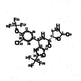 O=C1NC[C@@H](C(=O)NC(c2ccc(OC(F)(F)F)c(Cl)c2)c2coc(C(F)(F)F)n2)O1